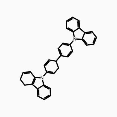 C1=Cc2c(c3ccccc3n2C2=CCC(c3ccc(-n4c5ccccc5c5ccccc54)cc3)C=C2)CC1